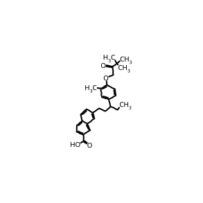 CCC(CCc1ccc2ccc(C(=O)O)cc2c1)c1ccc(OCC(=O)C(C)(C)C)c(C)c1